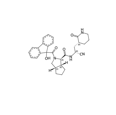 N#C[C@@H](C[C@H]1CCCNC1=O)NC(=O)[C@H]1[C@@H]2CCC[C@@H]2CN1C(=O)C1(O)c2ccccc2-c2ccccc21